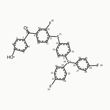 O=C(c1ccc(O)cc1)c1ccc(Sc2ccc([S+](c3ccc(F)cc3)c3ccc(F)cc3)cc2)c(F)c1